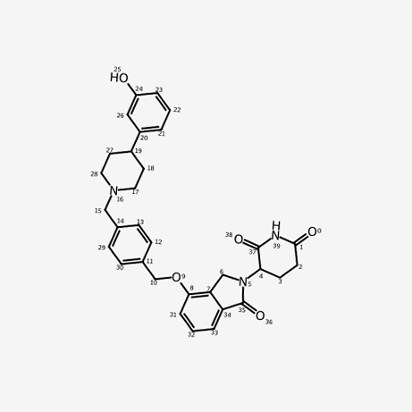 O=C1CCC(N2Cc3c(OCc4ccc(CN5CCC(c6cccc(O)c6)CC5)cc4)cccc3C2=O)C(=O)N1